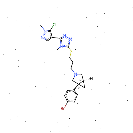 Cn1ncc(-c2nnc(SCCCN3C[C@H]4C[C@]4(c4ccc(Br)cc4)C3)n2C)c1Cl